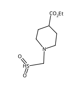 CCOC(=O)C1CCN(C[SH](=O)=O)CC1